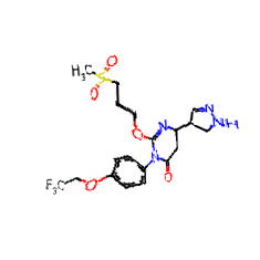 CS(=O)(=O)CCCOC1=NC(C2C=NNC2)CC(=O)N1c1ccc(OCC(F)(F)F)cc1